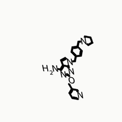 Nc1nc(OCc2cccnc2)nc2c1ccn2Cc1ccc(CN2CCCC2)cc1